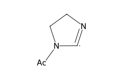 CC(=O)N1[C]=NCC1